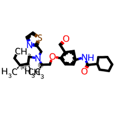 CC[C@@H](C)[C@@H](C)CN(Cc1nccs1)[C@H](C)COc1ccc(NC(=O)C2CCCCC2)cc1C=O